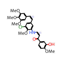 COc1ccc(C(=O)/C=C\Nc2cc(/C=C\c3cc(OC)c(OC)c(OC)c3)cc(Cl)c2OC)cc1O